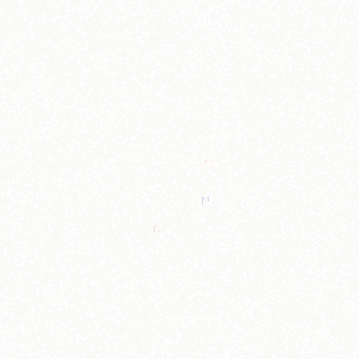 O=C(c1ncc(Br)s1)C1CCCCC1